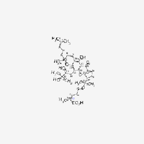 CC(C)=CCC[C@]1(C)C=Cc2c(O)c3c(c(CC(O)C(C)(C)O)c2O1)OC1C(=CCC1C(C)(C)OCC/C=C(/C)C(=O)O)C3=O